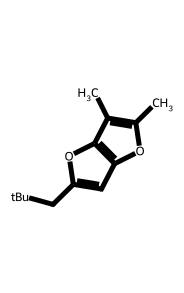 Cc1oc2cc(CC(C)(C)C)oc2c1C